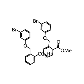 COC(=O)c1ccccc1COc1cccc(Br)c1.O=C(O)c1ccccc1COc1cccc(Br)c1